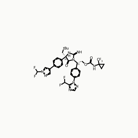 CC(C)(C)C[C@]1(c2ccc(-c3cnn(C(F)F)c3)cc2)NC(=N)N([C@H](COC(=O)NC2(C(F)(F)F)CC2)c2ccc(-n3ncnc3C(F)F)cc2)C1=O